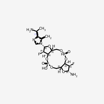 C=c1/c(=C(\C)N)ncn1[C@@H]1O[C@@H]2CO[PH](=O)O[C@H]3[C@@H](F)[C@H](N)O[C@@H]3COP(=O)(O)O[C@H]2[C@H]1F